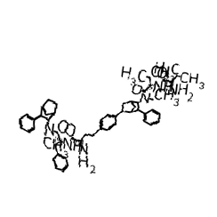 CCN(C(=O)[C@H](Cc1ccccc1)NC(=O)[C@@H](N)CCc1ccc(C2CC3CC2C(c2ccccc2)C3N(CC)C(=O)[C@@H](NC(=O)[C@@H](N)C(C)C)C(C)C)cc1)C1C2CCC(C2)C1c1ccccc1